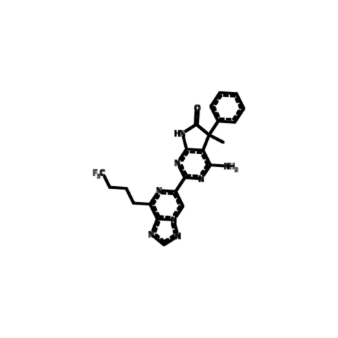 CC1(c2ccccc2)C(=O)Nc2nc(-c3cn4ncnc4c(CCCC(F)(F)F)n3)nc(N)c21